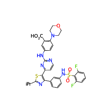 CC(C)c1nc(-c2cccc(NS(=O)(=O)c3c(F)cccc3F)c2)c(-c2ccnc(Nc3ccc(N4CCOCC4)c(C(=O)O)c3)n2)s1